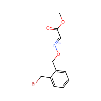 COC(=O)/C=N/OCc1ccccc1CBr